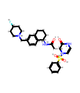 O=C(C[C@@H]1C(=O)NC=CN1S(=O)(=O)c1ccccc1)N[C@@H]1CCCc2cc(CN3CCC(F)CC3)ccc21